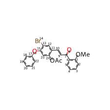 COc1ccccc1C(=O)C=Cc1cc(Br)c(Oc2ccccc2)cc1OC(C)=O